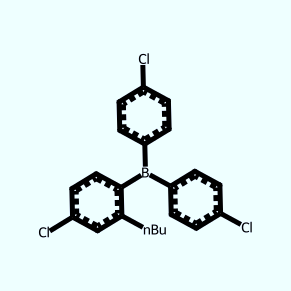 CCCCc1cc(Cl)ccc1B(c1ccc(Cl)cc1)c1ccc(Cl)cc1